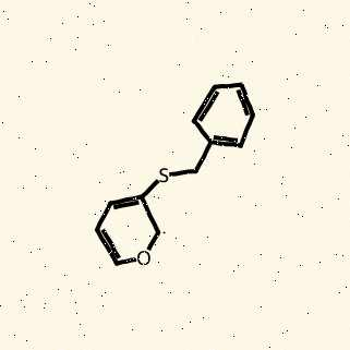 [CH]1OC=CC=C1SCc1ccccc1